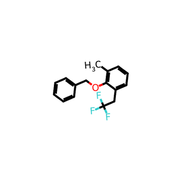 Cc1cccc(CC(F)(F)F)c1OCc1ccccc1